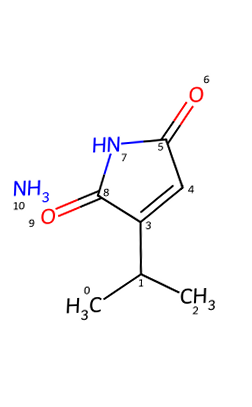 CC(C)C1=CC(=O)NC1=O.N